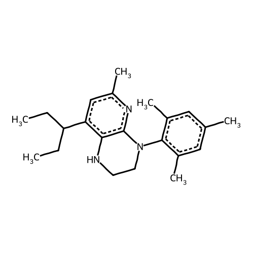 CCC(CC)c1cc(C)nc2c1NCCN2c1c(C)cc(C)cc1C